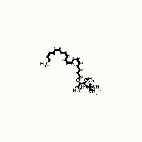 CC/C=C\C/C=C\C/C=C\C/C=C\C/C=C\CCCCOC(CC)C(=O)NC(C)(C)C